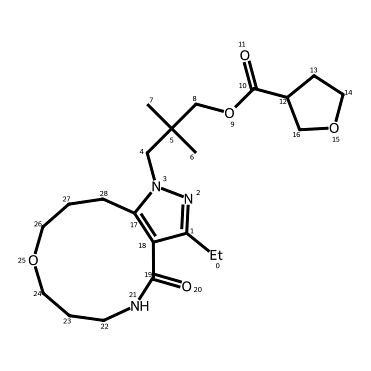 CCc1nn(CC(C)(C)COC(=O)C2CCOC2)c2c1C(=O)NCCCOCCC2